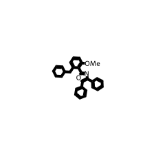 COc1cccc(CC2C=CCCC2)c1-c1nc(-c2ccccc2)c(-c2ccccc2)o1